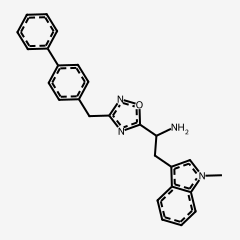 Cn1cc(CC(N)c2nc(Cc3ccc(-c4ccccc4)cc3)no2)c2ccccc21